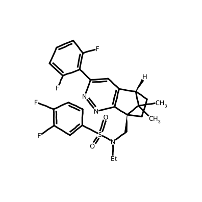 CCN(C[C@@]12CC[C@@H](c3cc(-c4c(F)cccc4F)nnc31)C2(C)C)S(=O)(=O)c1ccc(F)c(F)c1